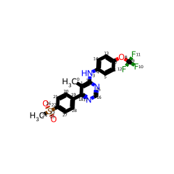 Cc1c(Nc2ccc(OC(F)(F)F)cc2)ncnc1-c1ccc(S(C)(=O)=O)cc1